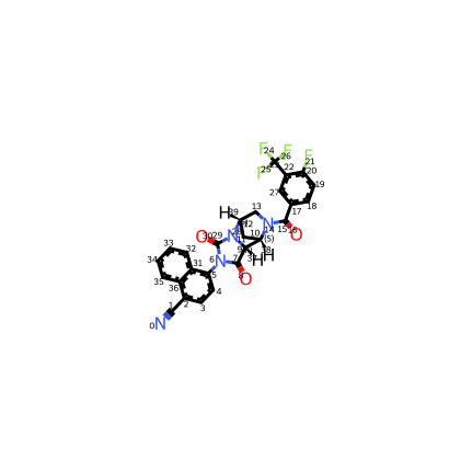 N#Cc1ccc(N2C(=O)[C@H]3[C@@H]4C[C@@H](CN4C(=O)c4ccc(F)c(C(F)(F)F)c4)N3C2=O)c2ccccc12